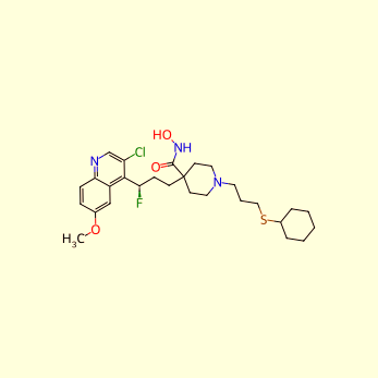 COc1ccc2ncc(Cl)c([C@H](F)CCC3(C(=O)NO)CCN(CCCSC4CCCCC4)CC3)c2c1